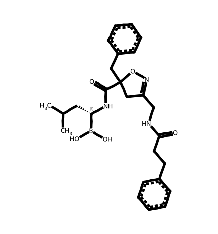 CC(C)C[C@H](NC(=O)C1(Cc2ccccc2)CC(CNC(=O)CCc2ccccc2)=NO1)B(O)O